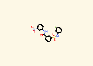 O=C(Nc1cccc([N+](=O)[O-])c1)c1cccc(S(=O)(=O)Nc2cccc(F)c2)c1